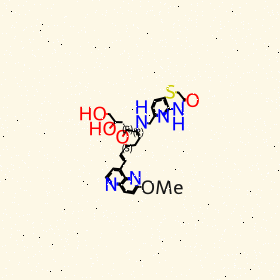 COc1ccc2nccc(C=C[C@@H]3CC[C@@H](NCc4ccc5c(n4)NC(=O)CS5)[C@@H](CC(O)CO)O3)c2n1